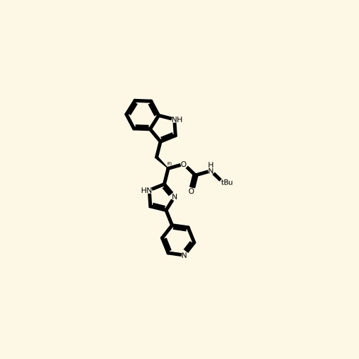 CC(C)(C)NC(=O)O[C@H](Cc1c[nH]c2ccccc12)c1nc(-c2ccncc2)c[nH]1